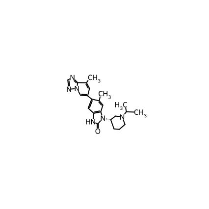 Cc1cc2c(cc1-c1cc(C)c3ncnn3c1)[nH]c(=O)n2[C@H]1CCCN(C(C)C)C1